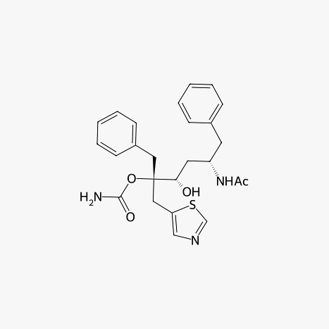 CC(=O)N[C@@H](Cc1ccccc1)C[C@H](O)[C@](Cc1ccccc1)(Cc1cncs1)OC(N)=O